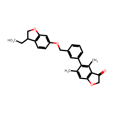 Cc1cc2c(c(C)c1-c1cccc(COc3ccc4c(c3)OCC4CC(=O)O)c1)C(=O)CO2